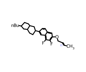 C/C=C/COc1cc2ccc(C3CCC4CC(CCCC)CCC4C3)cc2c(F)c1F